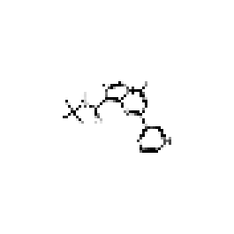 Cc1cc(-c2cccnc2)nc2c(C(=O)NC(C)(C)C)ncn12